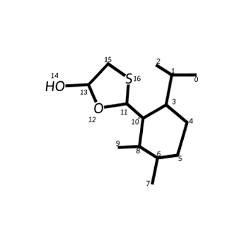 CC(C)C1CCC(C)C(C)[C]1C1OC(O)CS1